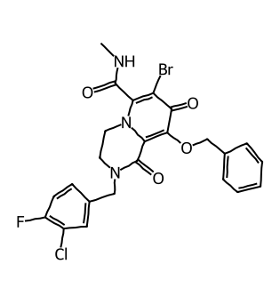 CNC(=O)c1c(Br)c(=O)c(OCc2ccccc2)c2n1CCN(Cc1ccc(F)c(Cl)c1)C2=O